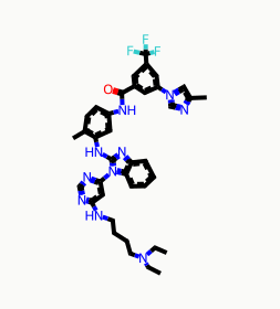 CCN(CC)CCCCNc1cc(-n2c(Nc3cc(NC(=O)c4cc(-n5cnc(C)c5)cc(C(F)(F)F)c4)ccc3C)nc3ccccc32)ncn1